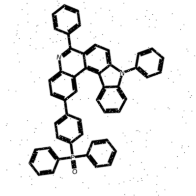 O=P(c1ccccc1)(c1ccccc1)c1ccc(-c2ccc3nc(-c4ccccc4)c4ccc5c(c6ccccc6n5-c5ccccc5)c4c3c2)cc1